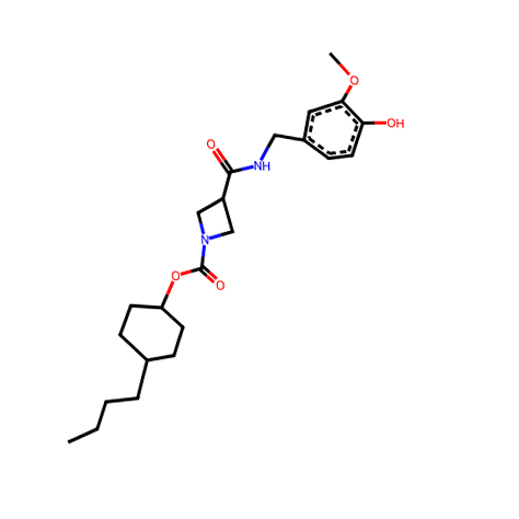 CCCCC1CCC(OC(=O)N2CC(C(=O)NCc3ccc(O)c(OC)c3)C2)CC1